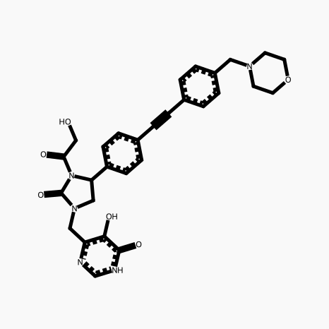 O=C(CO)N1C(=O)N(Cc2nc[nH]c(=O)c2O)CC1c1ccc(C#Cc2ccc(CN3CCOCC3)cc2)cc1